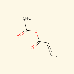 C=CC(=O)OC(=O)C=O